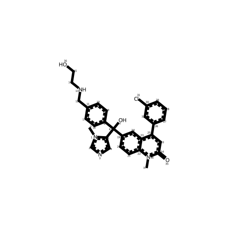 Cn1cncc1C(O)(c1ccc(CNCCO)cc1)c1ccc2c(c1)c(-c1cccc(Cl)c1)cc(=O)n2C